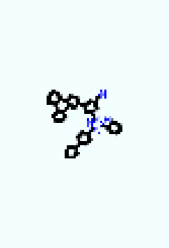 N#Cc1cc(C2=NC(c3ccc(-c4ccccc4)cc3)=NC(c3ccccc3)N2)cc(-c2ccc3c4ccccc4c4ccccc4c3c2)c1